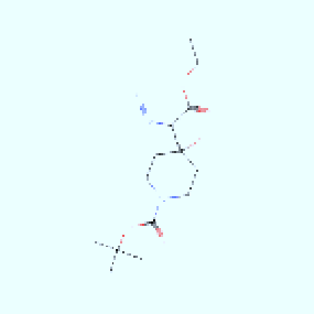 CCOC(=O)C(N=N)C1(O)CCN(C(=O)OC(C)(C)C)CC1